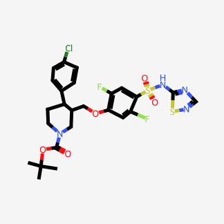 CC(C)(C)OC(=O)N1CCC(c2ccc(Cl)cc2)C(COc2cc(F)c(S(=O)(=O)Nc3ncns3)cc2F)C1